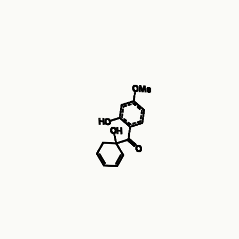 COc1ccc(C(=O)C2(O)C=CC=CC2)c(O)c1